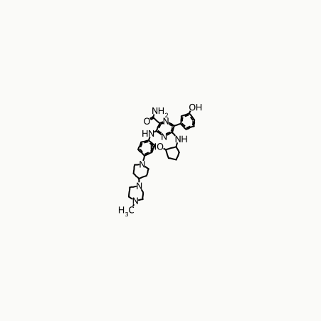 CN1CCN(C2CCN(c3ccc(Nc4nc(NC5CCCC5O)c(-c5cccc(O)c5)nc4C(N)=O)cc3)CC2)CC1